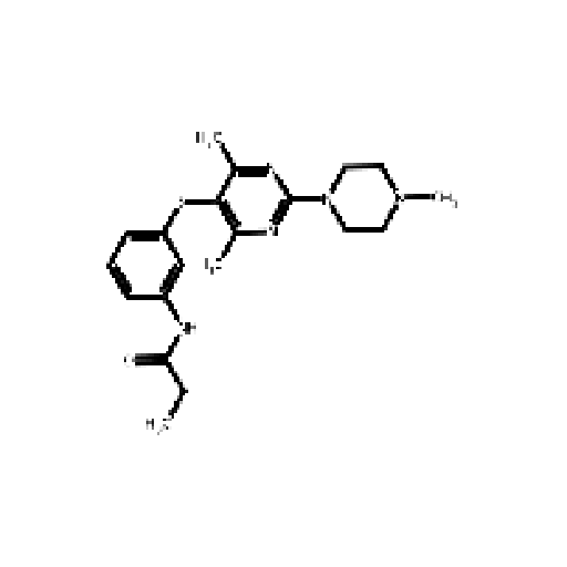 CCC(=O)Nc1cccc(Sc2c(C)nc(N3CCN(C)CC3)nc2C)c1